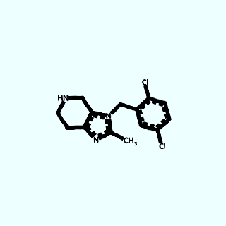 Cc1nc2c(n1Cc1cc(Cl)ccc1Cl)CNCC2